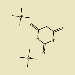 C[N+](C)(C)C.C[N+](C)(C)C.O=C1CC(=O)[N-]C(=O)[N-]1